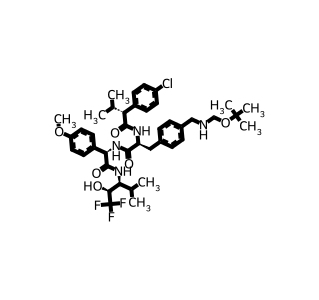 COc1ccc([C@H](NC(=O)[C@H](Cc2ccc(CNCOC(C)(C)C)cc2)NC(=O)[C@@H](c2ccc(Cl)cc2)C(C)C)C(=O)N[C@@H](C(C)C)[C@H](O)C(F)(F)F)cc1